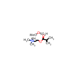 C=C(C)C(=O)OCC[N+](C)(C)C.COOS(=O)(=O)O